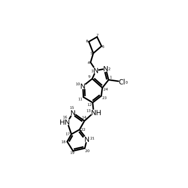 Clc1nn(CC2CCC2)c2ncc(Nc3n[nH]c4cccnc34)cc12